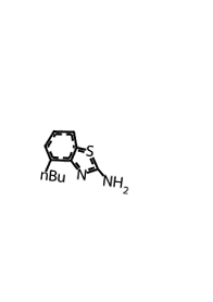 CCCCc1cccc2sc(N)nc12